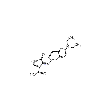 CCN(CC)c1ccc2cc(/C=C3\C(=O)NN=C3C(=O)O)ccc2c1